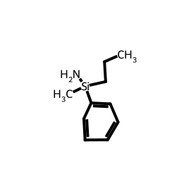 CCC[Si](C)(N)c1ccccc1